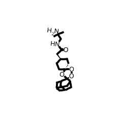 CC(C)(N)CNC(=O)C[C@H]1CC[C@]2(CC1)OO[C@]1(O2)C2CC3CC(C2)CC1C3